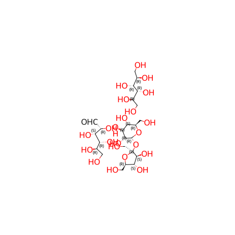 O=C[C@H](O)[C@@H](O)[C@H](O)[C@H](O)CO.OC[C@@H](O)[C@@H](O)[C@H](O)[C@H](O)CO.OC[C@H]1O[C@@](CO)(O[C@H]2O[C@H](CO)[C@@H](O)[C@H](O)[C@H]2O)[C@@H](O)[C@@H]1O